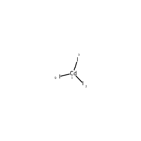 [I][Cd]([I])[I]